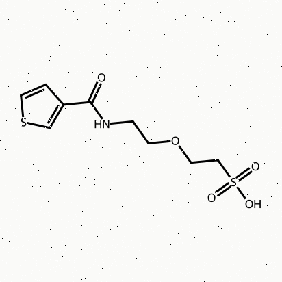 O=C(NCCOCCS(=O)(=O)O)c1ccsc1